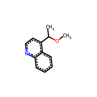 COC(C)c1ccnc2ccccc12